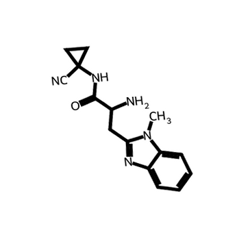 Cn1c(CC(N)C(=O)NC2(C#N)CC2)nc2ccccc21